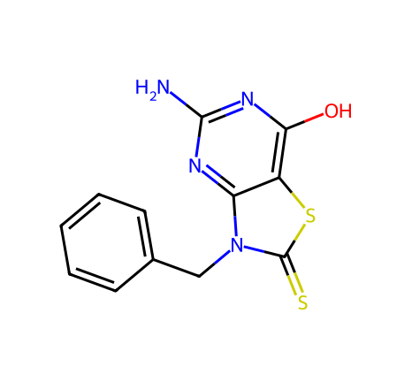 Nc1nc(O)c2sc(=S)n(Cc3ccccc3)c2n1